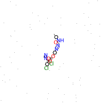 Cc1ccc(NC(=O)CN2CCN(c3ccc(OC[C@@H]4CO[C@@](Cn5ccnc5)(c5ccc(Cl)cc5Cl)O4)cc3)CC2)cc1